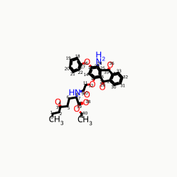 CCCC(=O)CCC(NC(=O)COc1cc(Oc2ccccc2)c(N)c2c1C(=O)c1ccccc1C2=O)C(=O)OCC